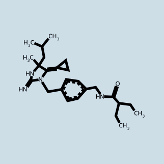 CCC(CC)C(=O)NCc1ccc(CN2C(=N)NC(C)(CC(C)C)C2=C2CC2)cc1